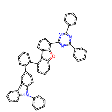 c1ccc(-c2nc(-c3ccccc3)nc(-c3cccc4c3oc3cccc(-c5ccccc5-c5ccc6c(c5)c5ccccc5n6-c5ccccc5)c34)n2)cc1